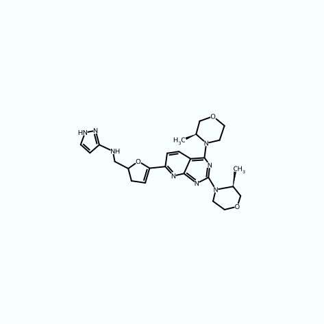 C[C@H]1COCCN1c1nc(N2CCOC[C@@H]2C)c2ccc(C3=CCC(CNc4cc[nH]n4)O3)nc2n1